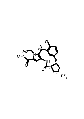 CNC(=O)c1cc(NC(=O)[C@H]2CC[C@H](C(F)(F)F)C2)c([C@@H](C)c2cc(F)ccc2Cl)n1CC(C)=O